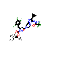 CC(C)(C)OC(=O)N[C@@H](CC(=O)N1CCn2c(nc(C3CC3)c2NC(=O)C(F)(F)F)C1)Cc1cc(F)c(F)cc1F